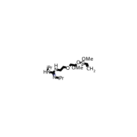 C=C[Si](OC)(OC)OCCOCCN/C(=N\C(C)C)NC(C)C